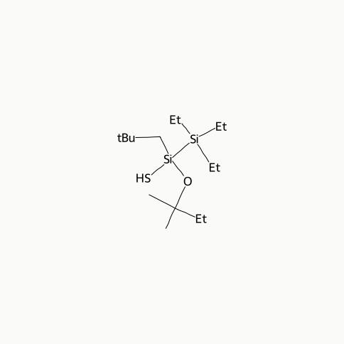 CCC(C)(C)O[Si](S)(CC(C)(C)C)[Si](CC)(CC)CC